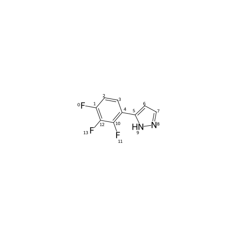 Fc1ccc(-c2ccn[nH]2)c(F)c1F